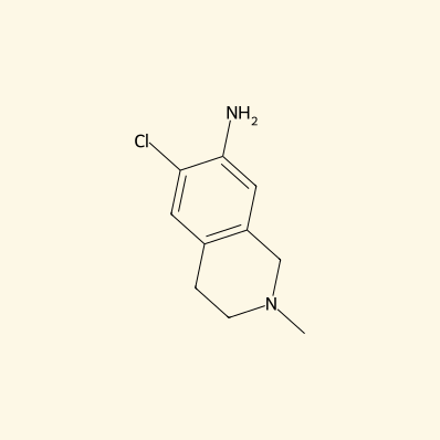 CN1CCc2cc(Cl)c(N)cc2C1